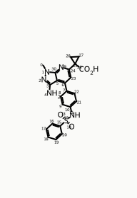 Cn1nc(N)c2c(-c3ccc(NS(=O)(=O)c4ccccc4)cc3)cc(C3(C(=O)O)CC3)nc21